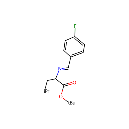 CC(C)CC(/N=C/c1ccc(F)cc1)C(=O)OC(C)(C)C